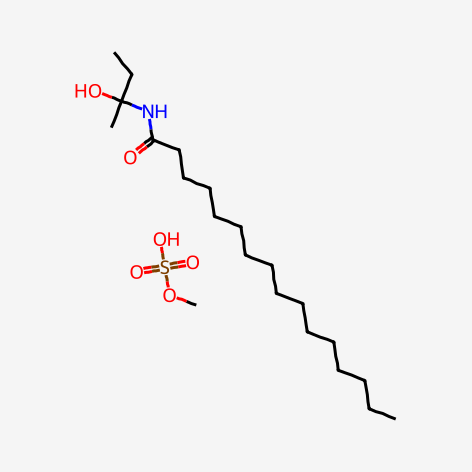 CCCCCCCCCCCCCCCC(=O)NC(C)(O)CC.COS(=O)(=O)O